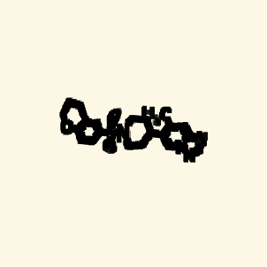 Cc1cc2ncnn2cc1C1CCN(S(=O)(=O)c2ccc3c(c2)CCCO3)CC1